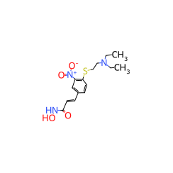 CCN(CC)CCSc1ccc(C=CC(=O)NO)cc1[N+](=O)[O-]